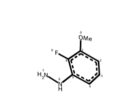 COc1cccc(NN)c1F